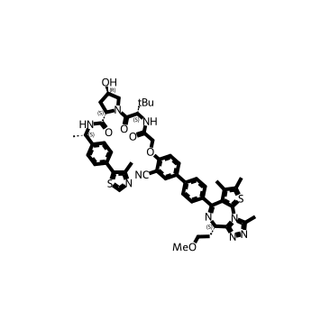 COCC[C@@H]1N=C(c2ccc(-c3ccc(OCC(=O)N[C@H](C(=O)N4C[C@H](O)C[C@H]4C(=O)N[C@@H](C)c4ccc(-c5scnc5C)cc4)C(C)(C)C)c(C#N)c3)cc2)c2c(sc(C)c2C)-n2c(C)nnc21